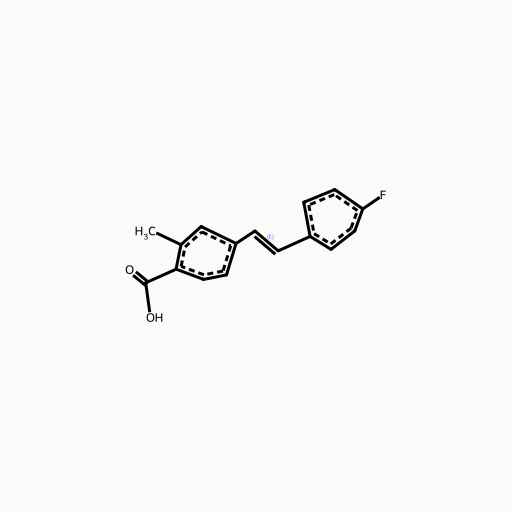 Cc1cc(/C=C/c2ccc(F)cc2)ccc1C(=O)O